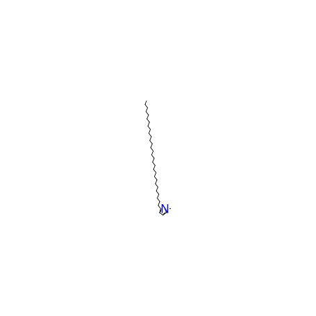 CCCCCCCCCCCCCCCCCCCCCCCCCCCCCCC1=CC=C[N]1